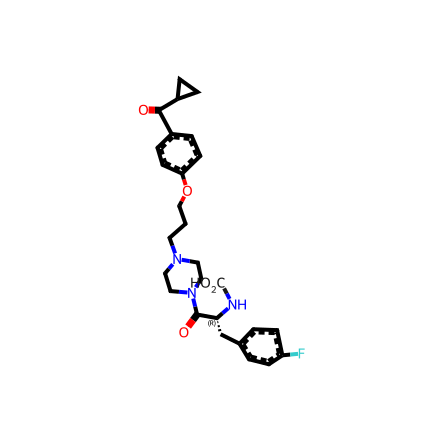 O=C(O)N[C@H](Cc1ccc(F)cc1)C(=O)N1CCN(CCCOc2ccc(C(=O)C3CC3)cc2)CC1